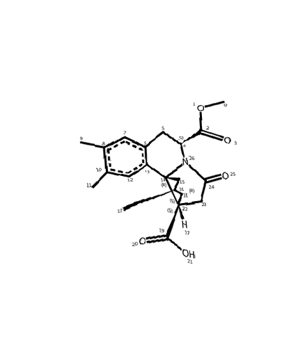 COC(=O)[C@@H]1Cc2cc(C)c(C)cc2[C@@]23C[C@H](C)[C@@H](C(=O)O)[C@@H]2CC(=O)N13